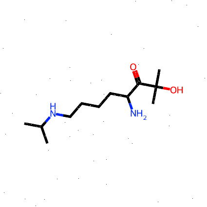 CC(C)NCCCCC(N)C(=O)C(C)(C)O